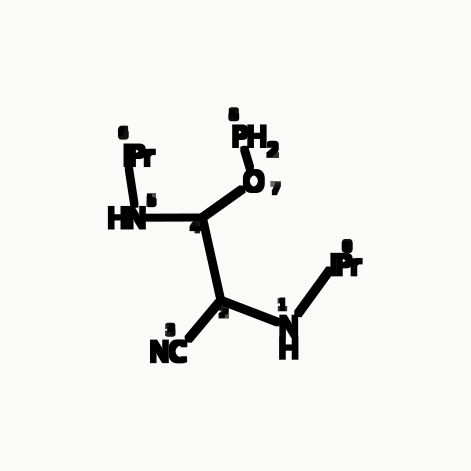 CC(C)NC(C#N)C(NC(C)C)OP